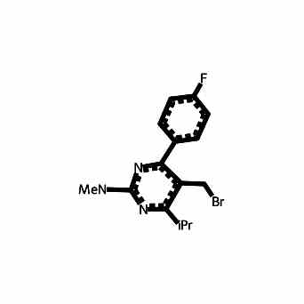 CNc1nc(-c2ccc(F)cc2)c(CBr)c(C(C)C)n1